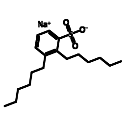 CCCCCCc1cccc(S(=O)(=O)[O-])c1CCCCCC.[Na+]